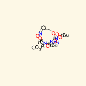 CC(C)(C)OC(=O)N[C@H]1COCC=Cc2cccc3c2CN(C3)C(=O)O[C@@H]2C[C@@H](C(=O)O)N(C2)C(=O)[C@H](C(C)(C)C)NC1=O